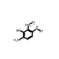 CCNc1ccc([SiH3])c(C(C)CC)c1NCC